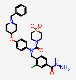 NNC(=O)c1ccc(CN(C(=O)N2CCS(=O)(=O)CC2)c2ccc(OC3CCN(Cc4ccccc4)CC3)cc2)c(F)c1